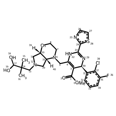 COC(=O)C1=C(CN2CCO[C@H]3CN(CC(C)(C)C(O)O)C[C@H]32)NC(c2nccs2)=N[C@H]1c1cccc(F)c1Cl